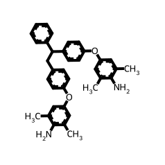 Cc1cc(Oc2ccc(CC(c3ccccc3)c3ccc(Oc4cc(C)c(N)c(C)c4)cc3)cc2)cc(C)c1N